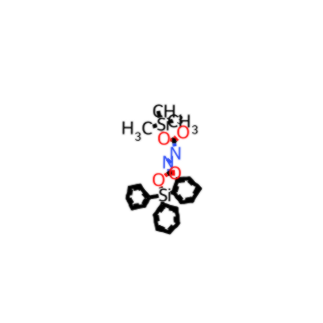 C[Si](C)(C)OC(=O)/N=N/C(=O)O[Si](c1ccccc1)(c1ccccc1)c1ccccc1